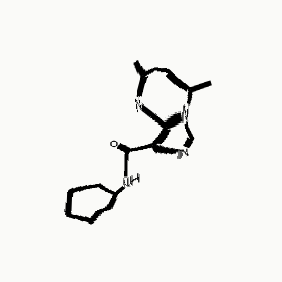 Cc1cc(C)n2cnc(C(=O)NC3CCCCC3)c2n1